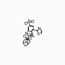 CC(C)(C)OC(=O)N1C2CC1CN(c1nc3cc(S(C)(=O)=O)cc(-c4nccs4)c3o1)C2